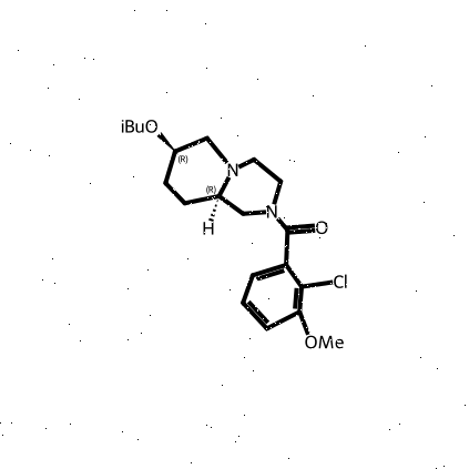 COc1cccc(C(=O)N2CCN3C[C@H](OCC(C)C)CC[C@@H]3C2)c1Cl